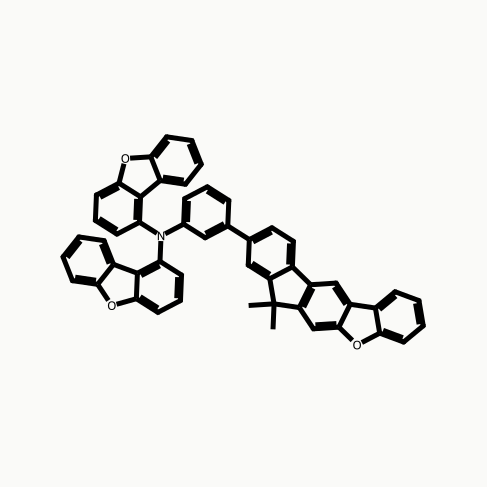 CC1(C)c2cc(-c3cccc(N(c4cccc5oc6ccccc6c45)c4cccc5oc6ccccc6c45)c3)ccc2-c2cc3c(cc21)oc1ccccc13